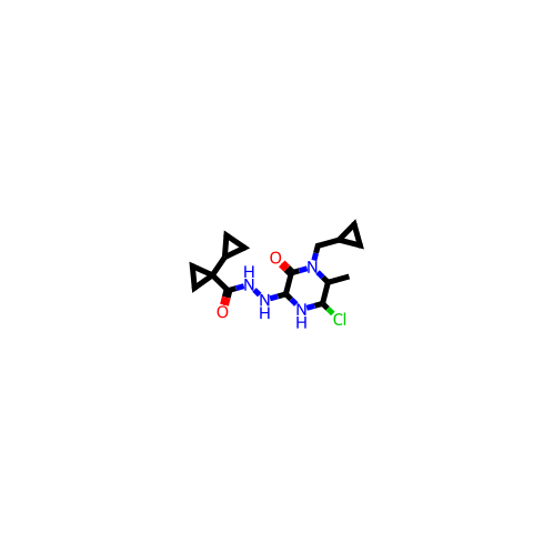 CC1C(Cl)NC(NNC(=O)C2(C3CC3)CC2)C(=O)N1CC1CC1